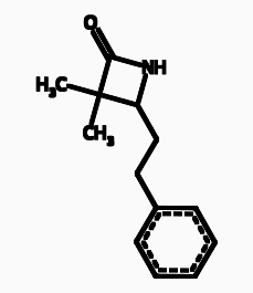 CC1(C)C(=O)NC1CCc1ccccc1